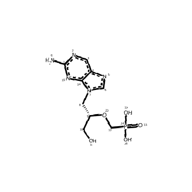 Nc1ncc2ncn(C[C@@H](CO)OCP(=O)(O)O)c2n1